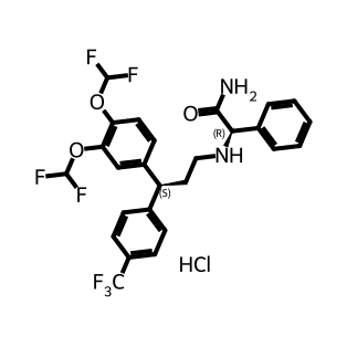 Cl.NC(=O)[C@H](NCC[C@@H](c1ccc(C(F)(F)F)cc1)c1ccc(OC(F)F)c(OC(F)F)c1)c1ccccc1